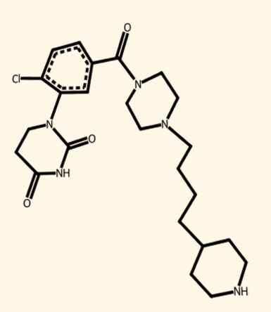 O=C1CCN(c2cc(C(=O)N3CCN(CCCCC4CCNCC4)CC3)ccc2Cl)C(=O)N1